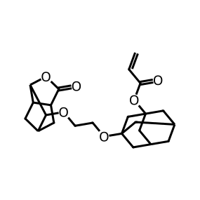 C=CC(=O)OC12CC3CC(CC(OCCOC4C5CC6C(=O)OC4C6C5)(C3)C1)C2